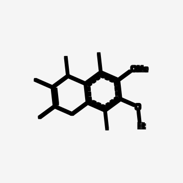 CCOc1c(C)c2c(c(C)c1OC)C(C)C(C)=C(C)C2